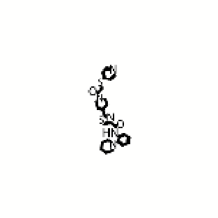 O=C(Nc1ccccc1N1CCCCC1)c1csc(C2CCN(C(=O)CSc3ccncc3)CC2)n1